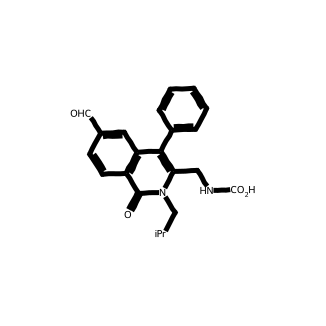 CC(C)Cn1c(CNC(=O)O)c(-c2ccccc2)c2cc(C=O)ccc2c1=O